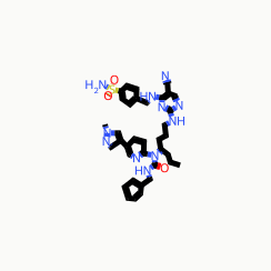 CCC/C(CCCNc1ncc(C#N)c(NCc2ccc(S(N)(=O)=O)cc2)n1)=[N+](\C(=O)NCc1ccccc1)c1ccc(-c2cnn(C)c2)cn1